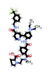 CCN(CC)c1ccc(NC(=O)c2cccc(C(=O)N(C)CCN3CCCC3C(=O)O)c2)c(-c2cc(C(=O)NCc3cccc(C(F)(F)F)c3)ccn2)c1